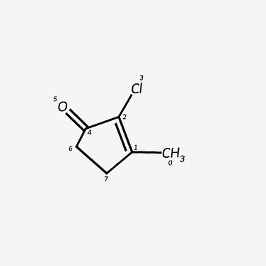 CC1=C(Cl)C(=O)CC1